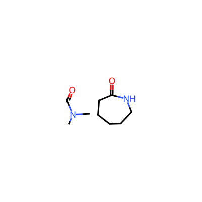 CN(C)C=O.O=C1CCCCCN1